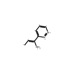 CC=C(N)c1cccnn1